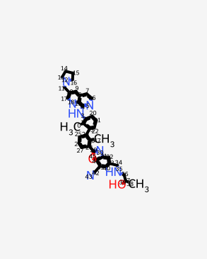 Cc1c(Nc2nccc3cc(CN4CCCC4)cnc23)cccc1-c1cccc(-c2nc3cc(CNCC(C)O)cc(C#N)c3o2)c1C